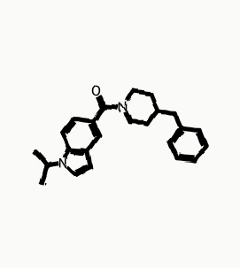 [CH2]C(C)n1ccc2cc(C(=O)N3CCC(Cc4ccccc4)CC3)ccc21